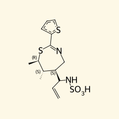 C=CC(NS(=O)(=O)O)[C@@H]1CN=C(c2cccs2)S[C@H](C)[C@H]1C